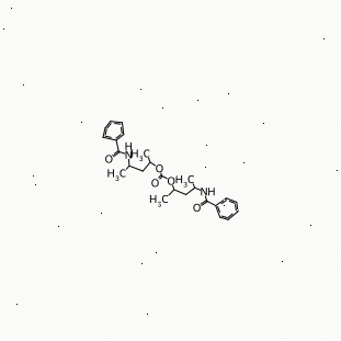 CC(CC(C)OC(=O)OC(C)CC(C)NC(=O)c1ccccc1)NC(=O)c1ccccc1